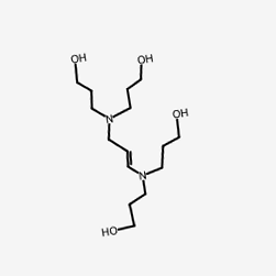 OCCCN(C=CCN(CCCO)CCCO)CCCO